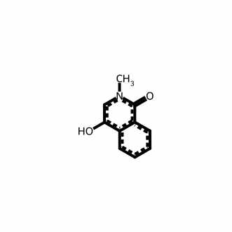 Cn1cc(O)c2ccccc2c1=O